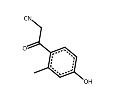 [C-]#[N+]CC(=O)c1ccc(O)cc1C